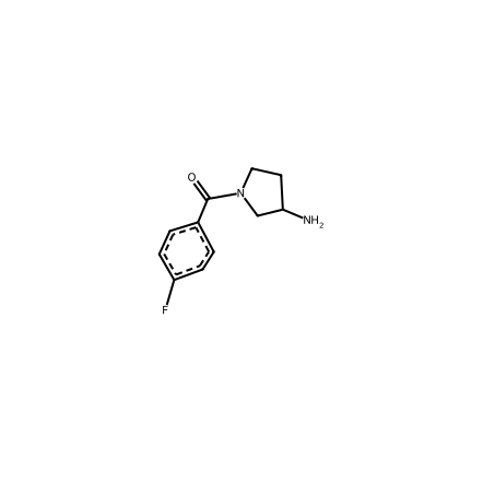 NC1CCN(C(=O)c2ccc(F)cc2)C1